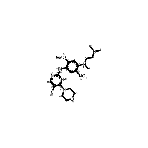 COc1cc(N(C)CCN(C)C)c([N+](=O)[O-])cc1Nc1ncc(Cl)c(N2CCOCC2)n1